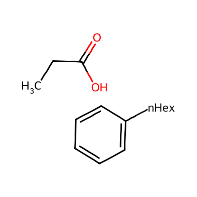 CCC(=O)O.CCCCCCc1ccccc1